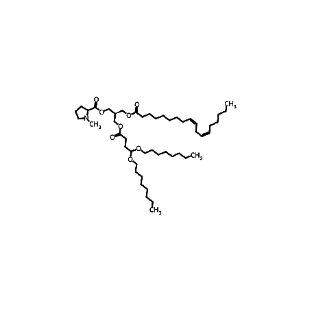 CCCCC/C=C\C/C=C\CCCCCCCC(=O)OC[C@@H](COC(=O)CCC(OCCCCCCCC)OCCCCCCCC)COC(=O)C1CCCN1C